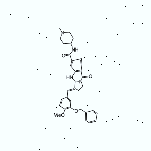 COc1ccc(C=C2CCN3C(=O)c4ccc(C(=O)NC5CCN(C)CC5)cc4NC23)cc1OCc1ccccc1